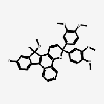 COc1ccc(C2(c3ccc(OC)c(OC)c3)C=Cc3c4c(c5ccccc5c3O2)-c2ccc(F)cc2C4(C)OC)cc1OC